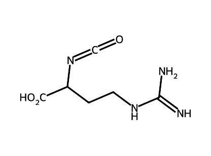 N=C(N)NCCC(N=C=O)C(=O)O